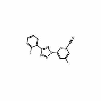 N#Cc1cc(F)cc(-n2nnc(-c3ncccc3F)n2)c1